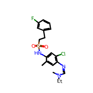 CCN(C)/C=N\c1cc(C)c(NS(=O)(=O)CCc2cccc(F)c2)cc1Cl